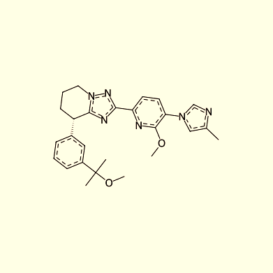 COc1nc(-c2nc3n(n2)CCC[C@H]3c2cccc(C(C)(C)OC)c2)ccc1-n1cnc(C)c1